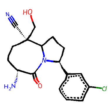 N#C[C@@]1(CO)CC[C@@H](N)C(=O)N2C1CC[C@H]2c1cccc(Cl)c1